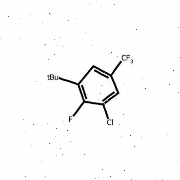 CC(C)(C)c1cc(C(F)(F)F)cc(Cl)c1F